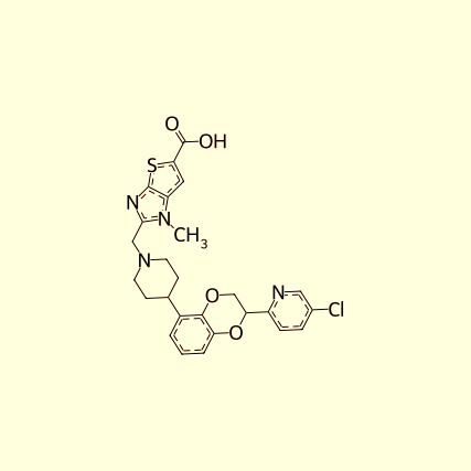 Cn1c(CN2CCC(c3cccc4c3OCC(c3ccc(Cl)cn3)O4)CC2)nc2sc(C(=O)O)cc21